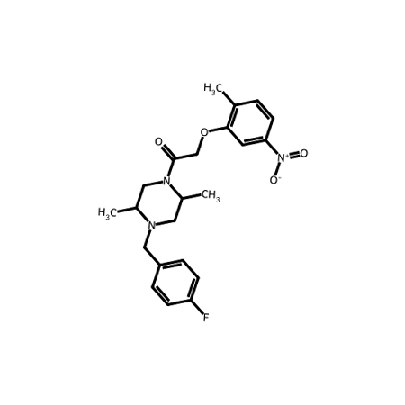 Cc1ccc([N+](=O)[O-])cc1OCC(=O)N1CC(C)N(Cc2ccc(F)cc2)CC1C